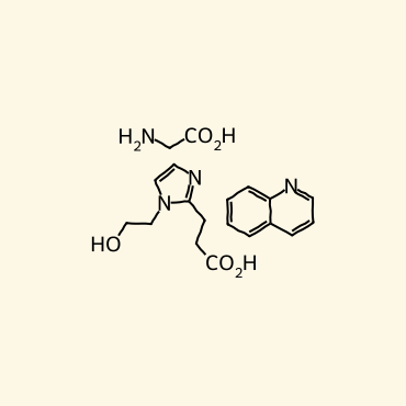 NCC(=O)O.O=C(O)CCc1nccn1CCO.c1ccc2ncccc2c1